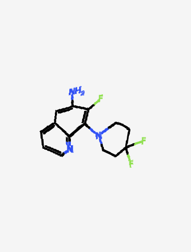 Nc1cc2cccnc2c(N2CCC(F)(F)CC2)c1F